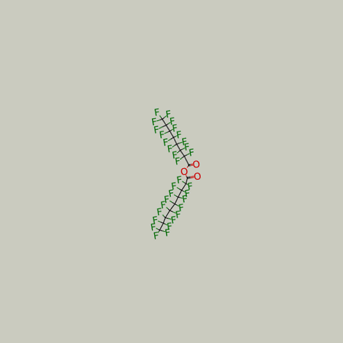 O=C(OC(=O)C(F)(F)C(F)(F)C(F)(F)C(F)(F)C(F)(F)C(F)(F)C(F)(F)C(F)(F)F)C(F)(F)C(F)(F)C(F)(F)C(F)(F)C(F)(F)C(F)(F)C(F)(F)F